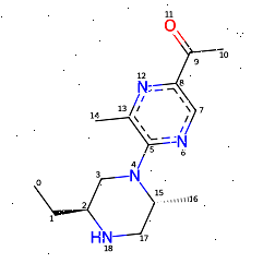 CC[C@H]1CN(c2ncc(C(C)=O)nc2C)[C@H](C)CN1